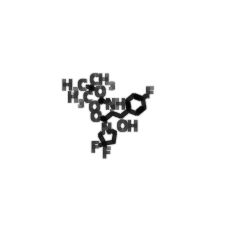 CC(C)(C)OC(=O)N[C@@H](C(=O)N1CCC(F)(F)C1)[C@@H](O)c1ccc(F)cc1